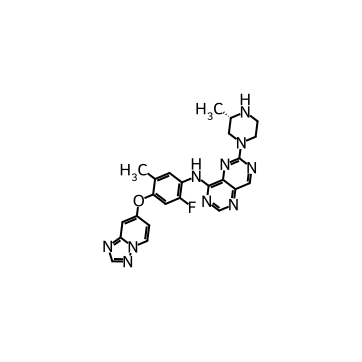 Cc1cc(Nc2ncnc3cnc(N4CCN[C@@H](C)C4)nc23)c(F)cc1Oc1ccn2ncnc2c1